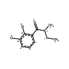 CON(C)C(=O)c1ccnc(Cl)c1Cl